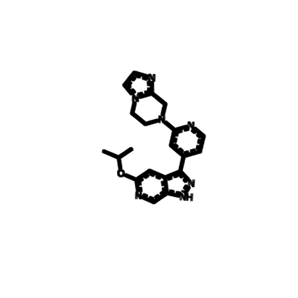 CC(C)Oc1cc2c(-c3ccnc(N4CCn5ccnc5C4)c3)n[nH]c2cn1